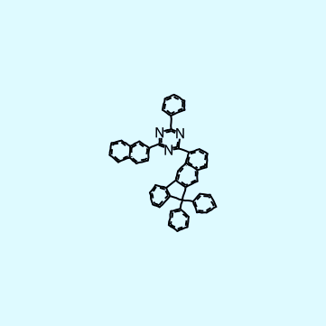 c1ccc(-c2nc(-c3ccc4ccccc4c3)nc(-c3cccc4cc5c(cc34)-c3ccccc3C5(c3ccccc3)c3ccccc3)n2)cc1